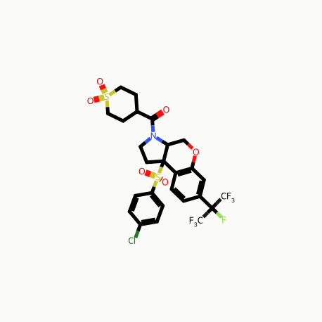 O=C(C1CCS(=O)(=O)CC1)N1CCC2(S(=O)(=O)c3ccc(Cl)cc3)c3ccc(C(F)(C(F)(F)F)C(F)(F)F)cc3OCC12